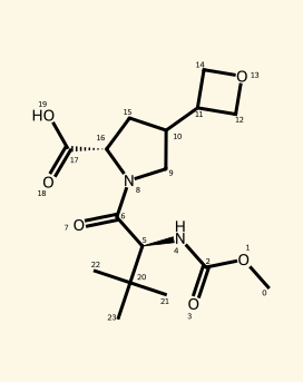 COC(=O)N[C@H](C(=O)N1CC(C2COC2)C[C@H]1C(=O)O)C(C)(C)C